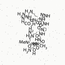 CN[C@@H](CCCCN)C(=O)N[C@H](C(=O)N[C@@H](C)C(=O)NCC(=O)N[C@H](CCCN)C(=O)N1CCC[C@H]1C(=O)N[C@@H](Cc1cnc[nH]1)C(=O)N[C@@H](CCCCN)C(=O)N/C(=C\CCNC(=N)N)C(=O)O)[C@@H](O)CN